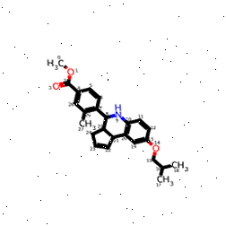 COC(=O)c1ccc(C2Nc3ccc(OCC(C)C)cc3C3C=CCC32)c(C)c1